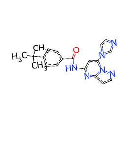 CC(C)(C)c1ccc(C(=O)Nc2cc(-n3ccnc3)n3nccc3n2)cc1